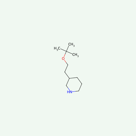 CC(C)(C)OCCC1CCCNC1